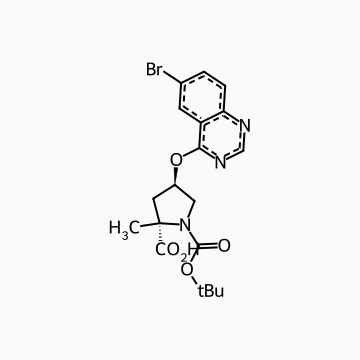 CC(C)(C)OC(=O)N1C[C@H](Oc2ncnc3ccc(Br)cc23)C[C@@]1(C)C(=O)O